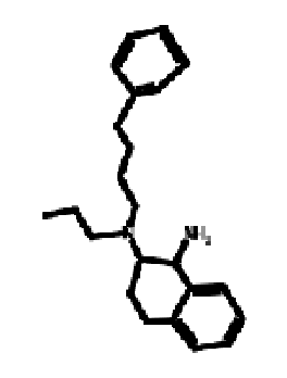 CCCN(CCCCc1ccccc1)C1CCc2ccccc2C1N